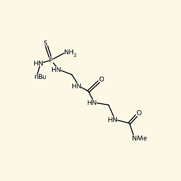 CCCCNP(N)(=S)NCNC(=O)NCNC(=O)NC